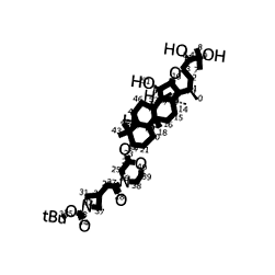 C[C@@H]1CC([C@H](O)C(C)(C)O)OC2C1[C@@]1(C)CCC34C[C@@]35CC[C@H](OC3CN(C(=O)CC6CN(C(=O)OC(C)(C)C)C6)CCO3)C(C)(C)[C@@H]5CC[C@H]4[C@]1(C)[C@H]2O